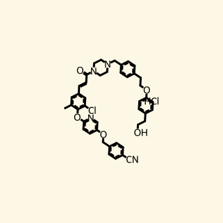 Cc1cc(/C=C/C(=O)N2CCN(Cc3ccc(CCOc4ccc(CCO)cc4)cc3)CC2)cc(Cl)c1Oc1ccc(OCc2ccc(C#N)cc2)cn1.Cl